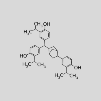 CC(C)c1cc(C2CC3CC2CC3C(c2ccc(O)c(C(C)C)c2)c2ccc(O)c(C(C)C)c2)ccc1O